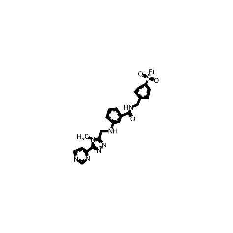 CCS(=O)(=O)c1ccc(CNC(=O)c2cccc(NCc3nnc(-c4ccncn4)n3C)c2)cc1